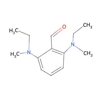 CCN(C)c1cccc(N(C)CC)c1C=O